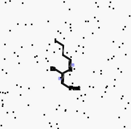 CCCC(C)/C=C(CC)\N=C/CCI